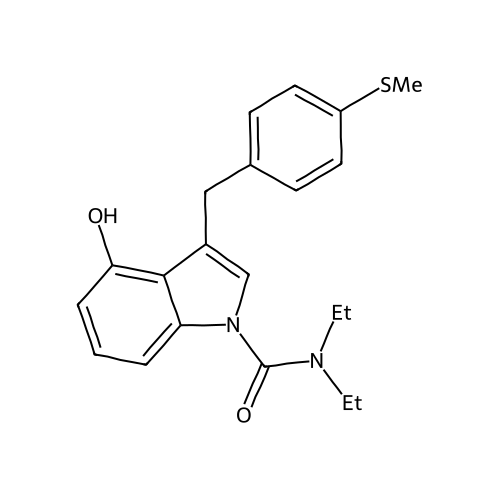 CCN(CC)C(=O)n1cc(Cc2ccc(SC)cc2)c2c(O)cccc21